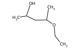 CCOC(C)CC(C)O